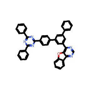 c1ccc(-c2cc(-c3ccc(-c4nc(-c5ccccc5)nc(-c5ccccc5)n4)cc3)cc(-c3ncnc4c3oc3ccccc34)c2)cc1